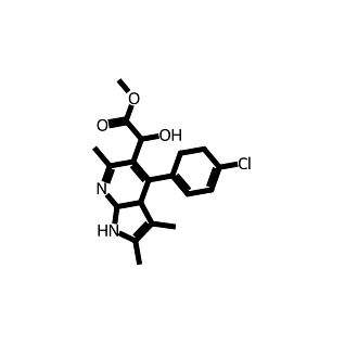 COC(=O)C(O)C1=C(C2=CC=C(Cl)CC2)C2C(C)=C(C)NC2N=C1C